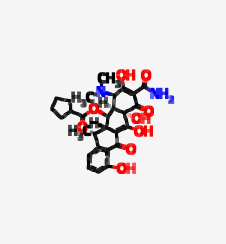 C[C@H]1c2cccc(O)c2C(=O)C2=C(O)[C@]3(O)C(=O)C(C(N)=O)=C(O)[C@H](N(C)C)[C@@H]3[C@H](OC(=O)C3CCCC3)[C@H]21